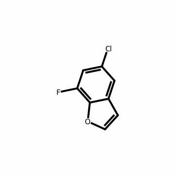 Fc1cc(Cl)cc2ccoc12